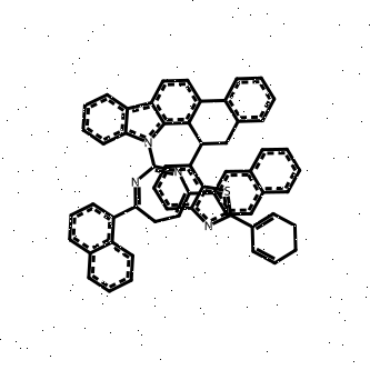 C1=CC(c2nc3cccc(C4Cc5ccccc5-c5ccc6c7ccccc7n(C7=NC(c8ccc9ccccc9c8)=CCC(c8cccc9ccccc89)=N7)c6c54)c3s2)=CCC1